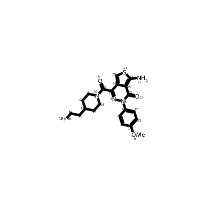 COc1ccc(-n2nc(C(=O)N3CCC(CC[18F])CC3)c3csc(N)c3c2=O)cc1